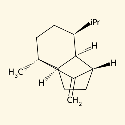 C=C1[C@H]2CC[C@@H]3[C@H]2[C@H](C(C)C)CC[C@]13C